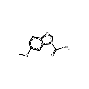 COc1ccc2ncn(C(N)=O)c2c1